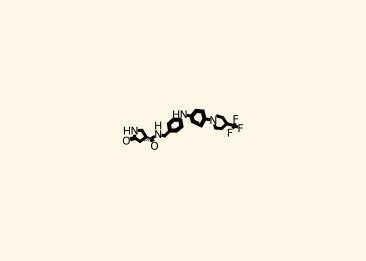 O=C1C[C@H](C(=O)NCc2ccc(Nc3ccc(N4CCC(C(F)(F)F)CC4)cc3)cc2)CN1